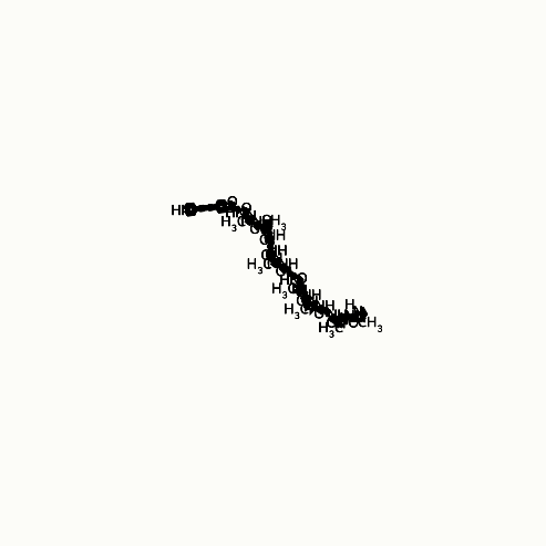 Cn1cc(NC(=O)c2nc(NC(=O)CCNC(=O)c3cc(NC(=O)c4nccn4C)cn3C)cn2C)cc1C(=O)NCCCC(=O)Nc1cn(C)c(C(=O)NCCC(=O)Nc2cc(C(=O)Nc3cn(C)c(C(=O)NCCC(=O)N4CCC(C#CC#CC5CCNCC5)CC4)n3)n(C)c2)n1